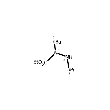 CCCCN(NCCC)C(=O)OCC